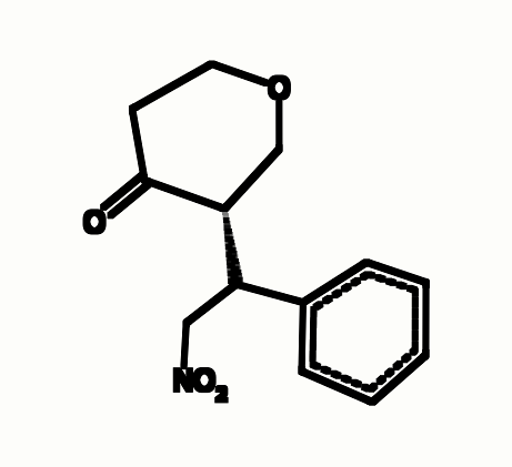 O=C1CCOC[C@@H]1C(C[N+](=O)[O-])c1ccccc1